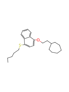 CCCCCSc1ccc(OCCC2CCCCCC2)c2ccccc12